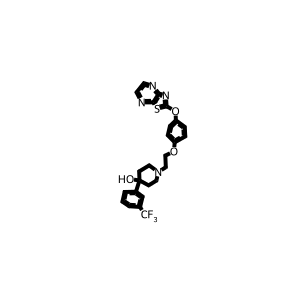 OC1(c2cccc(C(F)(F)F)c2)CCN(CCOc2ccc(Oc3nc4nccnc4s3)cc2)CC1